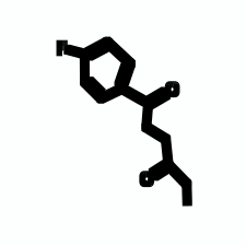 CCC(=O)CCC(=O)c1ccc(F)cc1